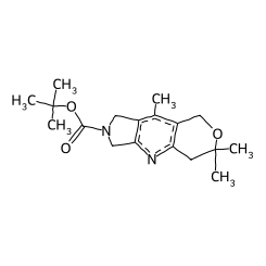 Cc1c2c(nc3c1CN(C(=O)OC(C)(C)C)C3)CC(C)(C)OC2